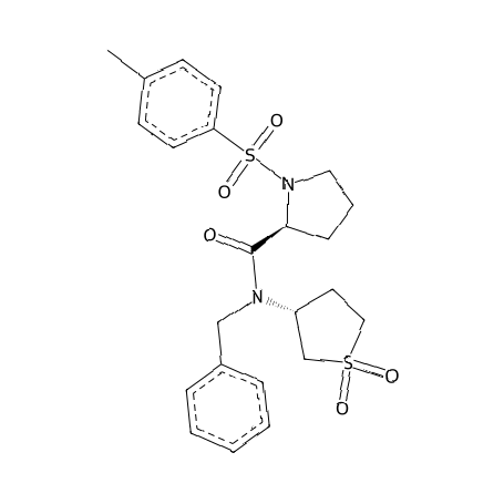 Cc1ccc(S(=O)(=O)N2CCC[C@H]2C(=O)N(Cc2ccccc2)[C@@H]2CCS(=O)(=O)C2)cc1